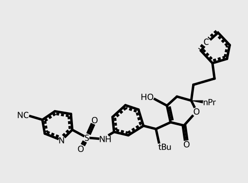 CCC[C@]1(CCc2ccccc2)CC(O)=C(C(c2cccc(NS(=O)(=O)c3ccc(C#N)cn3)c2)C(C)(C)C)C(=O)O1